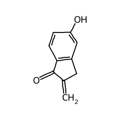 C=C1Cc2cc(O)ccc2C1=O